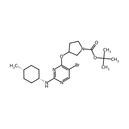 CC(C)(C)OC(=O)N1CCC(Oc2nc(N[C@H]3CC[C@@H](C)CC3)ncc2Br)C1